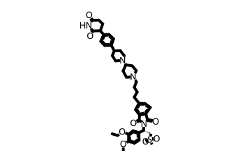 CCOc1cc([C@@H](CS(C)(=O)=O)N2C(=O)c3ccc(CCCCN4CCC(N5CCC(c6ccc(C7CCC(=O)NC7=O)cc6)CC5)CC4)cc3C2=O)ccc1OC